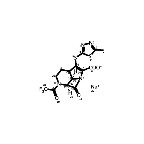 Cc1nnc(SC2=C(C(=O)[O-])N3C(=O)[C@@H]4[C@H]3C2CCN4C(=O)C(F)(F)F)s1.[Na+]